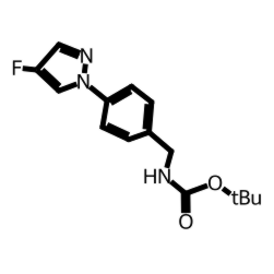 CC(C)(C)OC(=O)NCc1ccc(-n2cc(F)cn2)cc1